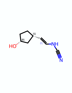 N#CN/C=C/[C@H]1CC[C@@H](O)C1